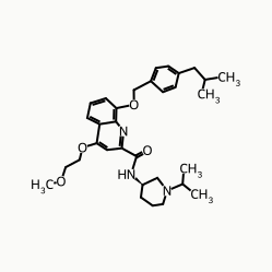 COCCOc1cc(C(=O)N[C@@H]2CCCN(C(C)C)C2)nc2c(OCc3ccc(CC(C)C)cc3)cccc12